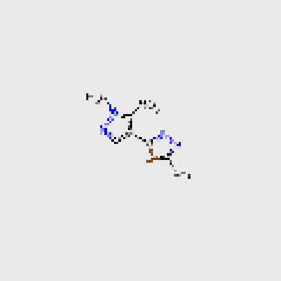 Cc1nnc(-c2cnn(C)c2[N+](=O)[O-])s1